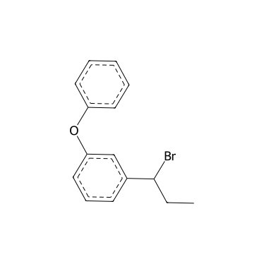 CCC(Br)c1cccc(Oc2ccccc2)c1